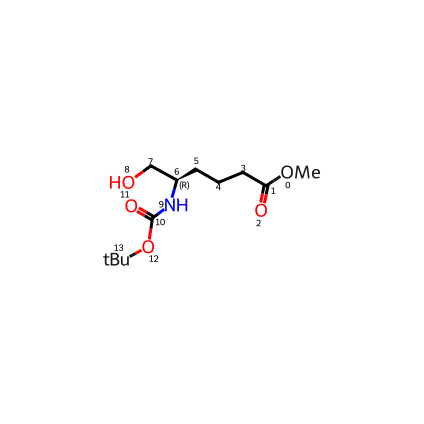 COC(=O)CCC[C@H](CO)NC(=O)OC(C)(C)C